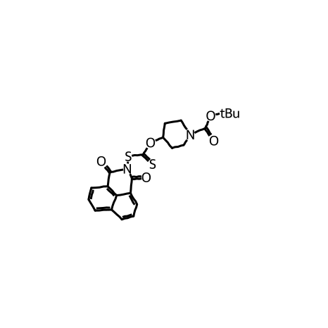 CC(C)(C)OC(=O)N1CCC(OC(=S)SN2C(=O)c3cccc4cccc(c34)C2=O)CC1